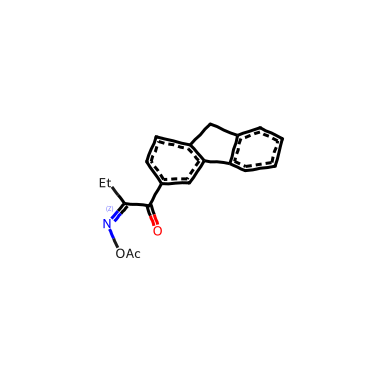 CC/C(=N/OC(C)=O)C(=O)c1ccc2c(c1)-c1ccccc1C2